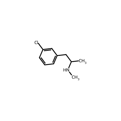 CNC(C)Cc1cccc(Cl)c1